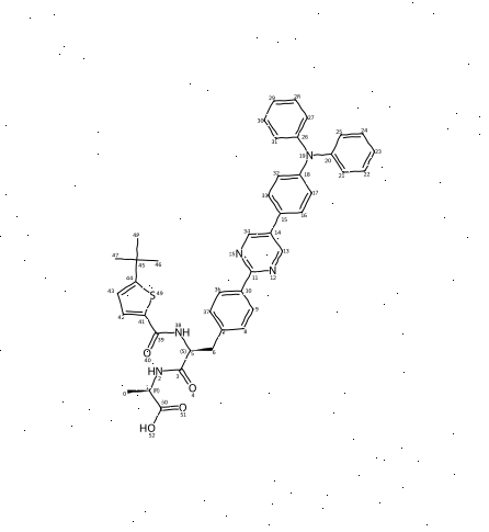 C[C@@H](NC(=O)[C@H](Cc1ccc(-c2ncc(-c3ccc(N(c4ccccc4)c4ccccc4)cc3)cn2)cc1)NC(=O)c1ccc(C(C)(C)C)s1)C(=O)O